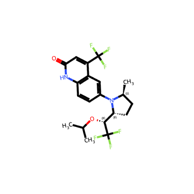 CC(C)O[C@H]([C@H]1CC[C@H](C)N1c1ccc2[nH]c(=O)cc(C(F)(F)F)c2c1)C(F)(F)F